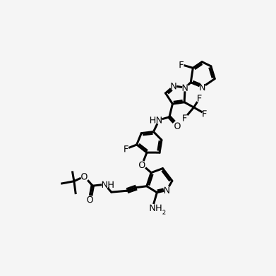 CC(C)(C)OC(=O)NCC#Cc1c(Oc2ccc(NC(=O)c3cnn(-c4ncccc4F)c3C(F)(F)F)cc2F)ccnc1N